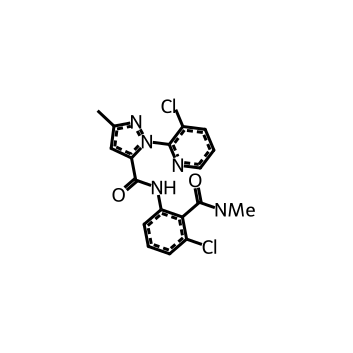 CNC(=O)c1c(Cl)cccc1NC(=O)c1cc(C)nn1-c1ncccc1Cl